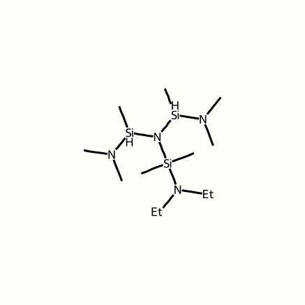 CCN(CC)[Si](C)(C)N([SiH](C)N(C)C)[SiH](C)N(C)C